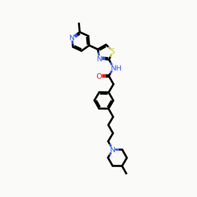 Cc1cc(-c2csc(NC(=O)Cc3cccc(CCCCN4CCC(C)CC4)c3)n2)ccn1